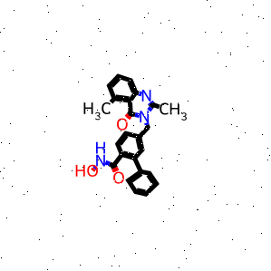 Cc1cccc2nc(C)n(Cc3ccc(C(=O)NO)c(-c4ccccc4)c3)c(=O)c12